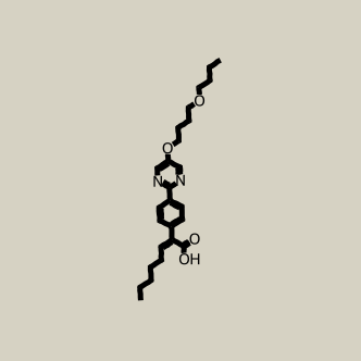 CCCCCC=C(C(=O)O)c1ccc(-c2ncc(OCCCCOCCCC)cn2)cc1